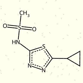 CS(=O)(=O)Nc1nnc(C2CC2)s1